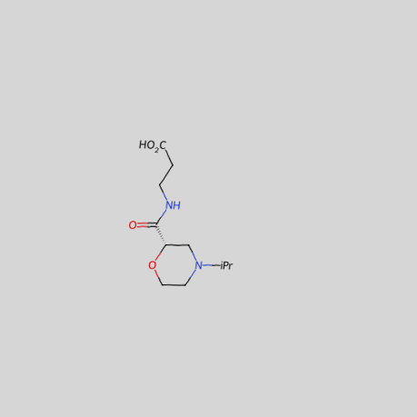 CC(C)N1CCO[C@H](C(=O)NCCC(=O)O)C1